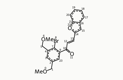 COCc1cc(COC)c(Br)c(C(=O)/C=C/c2cc3ccccc3o2)c1